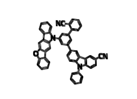 N#Cc1ccc2c(c1)c1cc(-c3cc(-c4ccccc4C#N)cc(-n4c5ccccc5c5cc6oc7ccccc7c6cc54)c3)ccc1n2-c1ccccc1